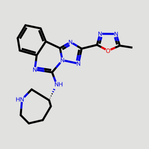 Cc1nnc(-c2nc3c4ccccc4nc(N[C@@H]4CCCCNC4)n3n2)o1